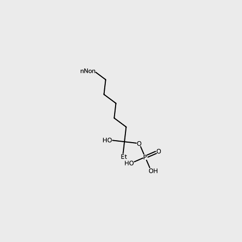 CCCCCCCCCCCCCCC(O)(CC)OP(=O)(O)O